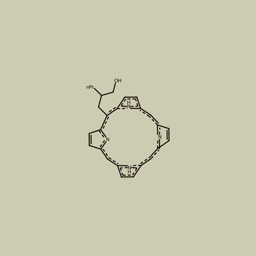 CCCC(CO)Cc1c2nc(cc3ccc(cc4nc(cc5ccc1[nH]5)C=C4)[nH]3)C=C2